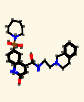 O=C(NCCN1CCc2ccccc2C1)c1cc(=O)[nH]c2ccc(S(=O)(=O)N3CCCCCC3)cc12